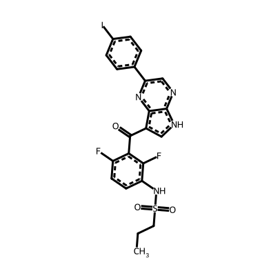 CCCS(=O)(=O)Nc1ccc(F)c(C(=O)c2c[nH]c3ncc(-c4ccc(I)cc4)nc23)c1F